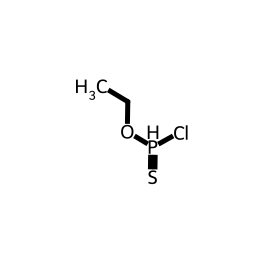 CCO[PH](=S)Cl